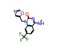 CNc1nc(=O)n(Cc2cnco2)c2cc(C(F)(F)F)ccc12